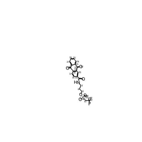 O=C(NCCCOS(=O)(=O)CC(F)(F)F)c1ccc2c(c1)C(=O)c1ccccc1C2=O